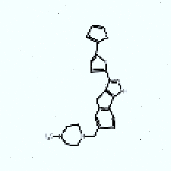 CN1CCN(Cc2ccc3c(c2)Cc2c(-c4ccc(-c5cccs5)s4)n[nH]c2-3)CC1